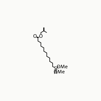 C=C(C)COC(=O)CCCCCCCCCCC[SiH](OC)OC